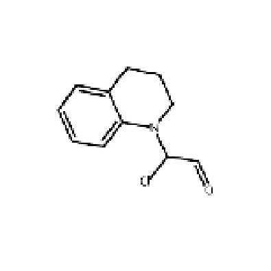 O=CC(Cl)N1CCCc2ccccc21